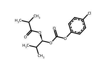 CC(C)C(=O)O[C@@H](OC(=O)Oc1ccc(Cl)cc1)C(C)C